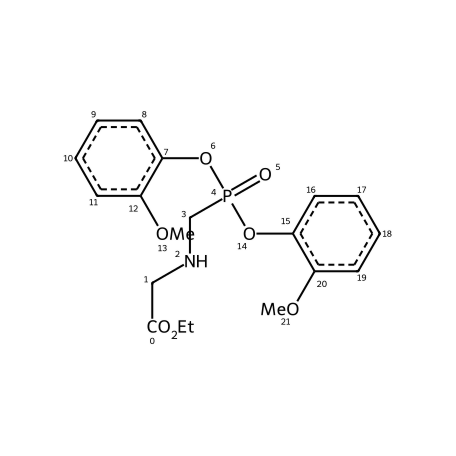 CCOC(=O)CNCP(=O)(Oc1ccccc1OC)Oc1ccccc1OC